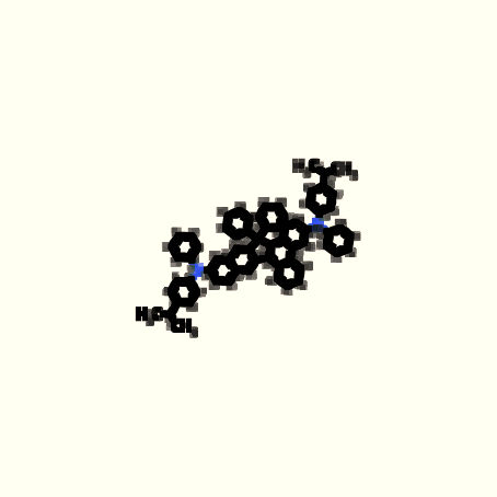 CC(C)c1ccc(N(c2ccccc2)c2ccc3cc4c(cc3c2)C(c2ccccc2)(c2ccccc2)c2c-4c3ccccc3c3cc(N(c4ccccc4)c4ccc(C(C)C)cc4)ccc23)cc1